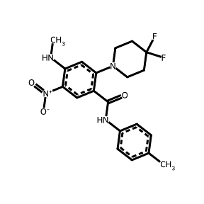 CNc1cc(N2CCC(F)(F)CC2)c(C(=O)Nc2ccc(C)cc2)cc1[N+](=O)[O-]